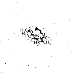 CC(C)[C@@H](OC(=O)[C@H](C)NC(=O)OC(C)(C)C)[C@H](C)OCCC1CC1